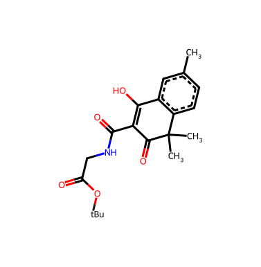 Cc1ccc2c(c1)C(O)=C(C(=O)NCC(=O)OC(C)(C)C)C(=O)C2(C)C